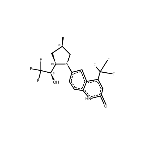 C[C@@H]1C[C@H]([C@@H](O)C(F)(F)F)N(c2ccc3[nH]c(=O)cc(C(F)(F)F)c3c2)C1